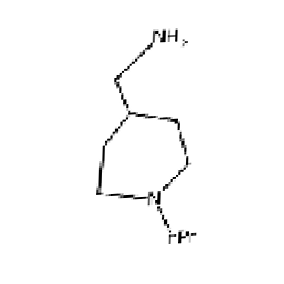 CCCN1CCC(CN)CC1